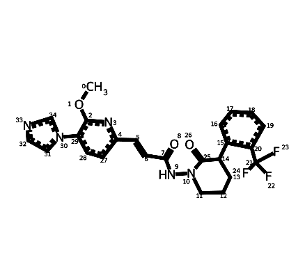 COc1nc(C=CC(=O)NN2CCCC(c3ccccc3C(F)(F)F)C2=O)ccc1-n1ccnc1